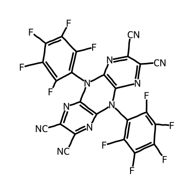 N#Cc1nc2c(nc1C#N)N(c1c(F)c(F)c(F)c(F)c1F)c1nc(C#N)c(C#N)nc1N2c1c(F)c(F)c(F)c(F)c1F